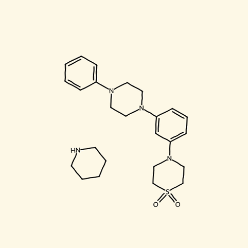 C1CCNCC1.O=S1(=O)CCN(c2cccc(N3CCN(c4ccccc4)CC3)c2)CC1